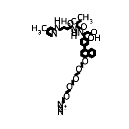 CCC(C)C(NC(=O)CCCNc1cc(C)ccn1)C(=O)NC(CC(=O)O)c1ccc(-c2ccc(OCCOCCOCCOCCOCCN=[N+]=[N-])c3ccccc23)cc1